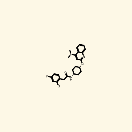 CN(C)c1cc(N[C@H]2CC[C@@H](NC(=O)Cc3ccc(F)cc3Cl)CC2)nc2ccccc12